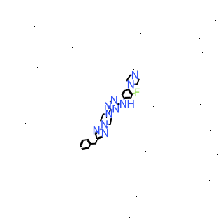 CN1CCN(c2ccc(Nc3ncnc(N4CCN(c5ncc(Cc6ccccc6)cn5)CC4)n3)cc2F)CC1